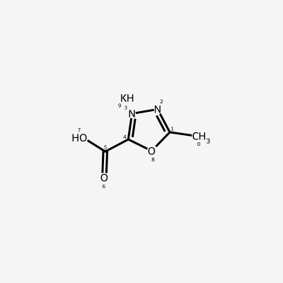 Cc1nnc(C(=O)O)o1.[KH]